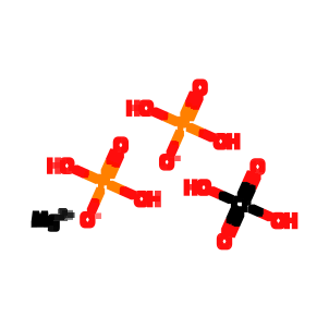 O=P([O-])(O)O.O=P([O-])(O)O.[Mg+2].[O]=[Cr](=[O])([OH])[OH]